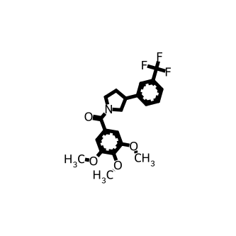 COc1cc(C(=O)N2CCC(c3cccc(C(F)(F)F)c3)C2)cc(OC)c1OC